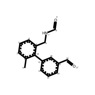 Cc1cccc(CNC=O)c1-c1cccc(C=O)c1